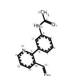 CC(=O)Nc1cccc(-c2ncccc2C=O)c1